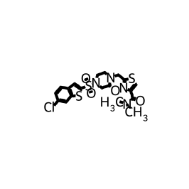 CN(C)C(=O)c1csc(CN2CCN(S(=O)(=O)c3cc4ccc(Cl)cc4s3)CC2=O)n1